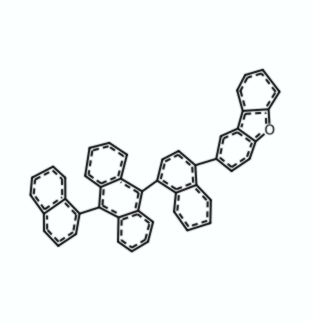 c1ccc2c(-c3c4ccccc4c(-c4ccc(-c5ccc6oc7ccccc7c6c5)c5ccccc45)c4ccccc34)cccc2c1